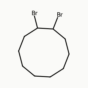 BrC1CCCCCCCCC1Br